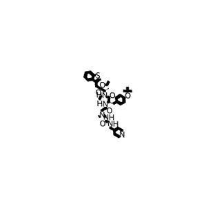 CCOC(Cc1csc2ccccc12)(OCC)[C@H](C)NC(=O)[C@H](Cc1ccc(OC(C)(C)C)cc1)NC(=O)CN(C)NC(=O)NCc1ccncc1